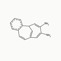 NC1=CC2=CC(C=C1N)c1ccccc1C=C2